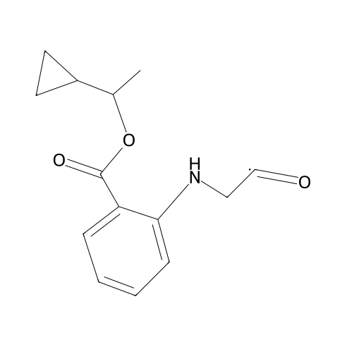 CC(OC(=O)c1ccccc1NC[C]=O)C1CC1